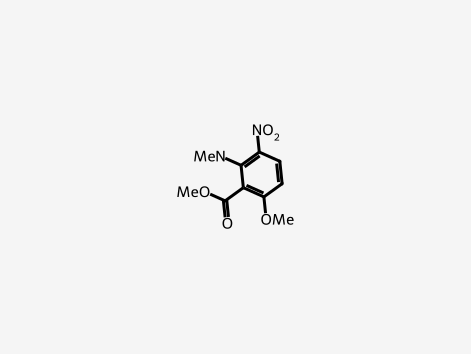 CNc1c([N+](=O)[O-])ccc(OC)c1C(=O)OC